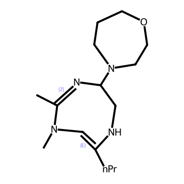 CCC/C1=C\N(C)/C(C)=N\C(N2CCCOCC2)CN1